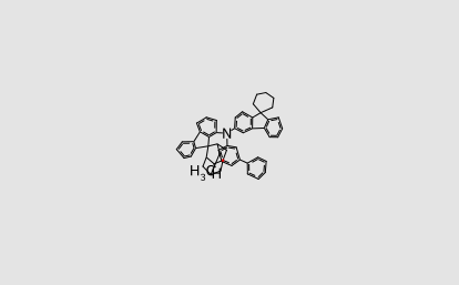 C[C@H]1C2CC3CC(C2)C2(c4ccccc4-c4cccc(N(c5cccc(-c6ccccc6)c5)c5ccc6c(c5)-c5ccccc5C65CCCCC5)c42)C1C3